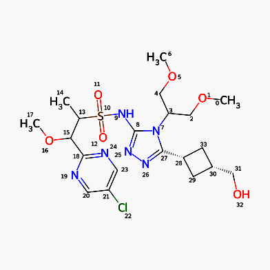 COCC(COC)n1c(NS(=O)(=O)C(C)C(OC)c2ncc(Cl)cn2)nnc1[C@H]1C[C@@H](CO)C1